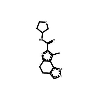 Cc1c(C(=O)NC2CCOC2)oc2c1-c1[nH]ncc1CC2